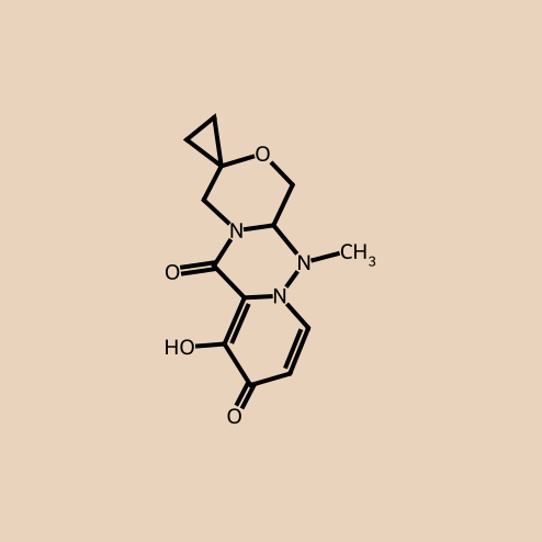 CN1C2COC3(CC3)CN2C(=O)c2c(O)c(=O)ccn21